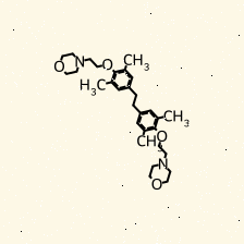 Cc1cc(CCc2cc(C)c(OCCN3CCOCC3)c(C)c2)cc(C)c1OCCN1CCOCC1